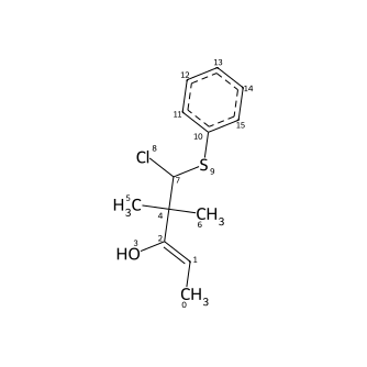 CC=C(O)C(C)(C)C(Cl)Sc1ccccc1